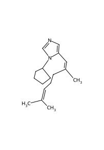 CC(C)=CCCC(C)=Cc1cncn1C1CCCC1